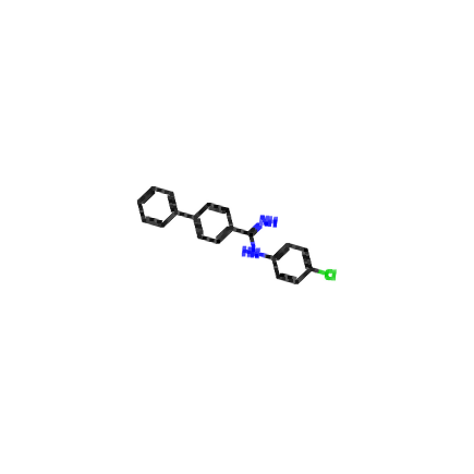 N=C(Nc1ccc(Cl)cc1)c1ccc(-c2ccccc2)cc1